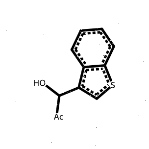 CC(=O)C(O)c1csc2ccccc12